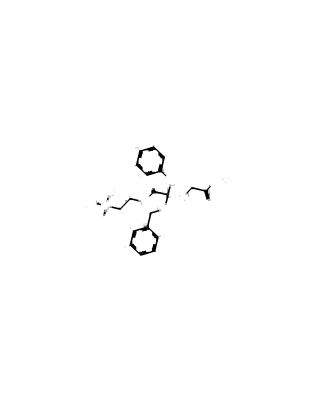 COC(=O)CN[C@@](OCc1ccccc1)(Oc1ccccc1)C(=O)OCC[Si](C)(C)C